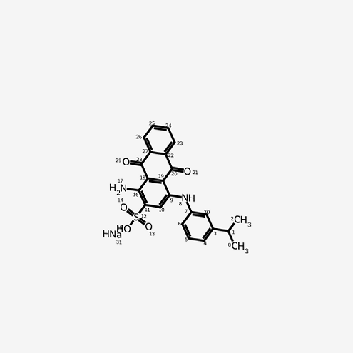 CC(C)c1cccc(Nc2cc(S(=O)(=O)O)c(N)c3c2C(=O)c2ccccc2C3=O)c1.[NaH]